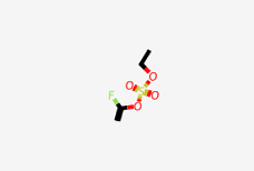 C=C(F)OS(=O)(=O)OCC